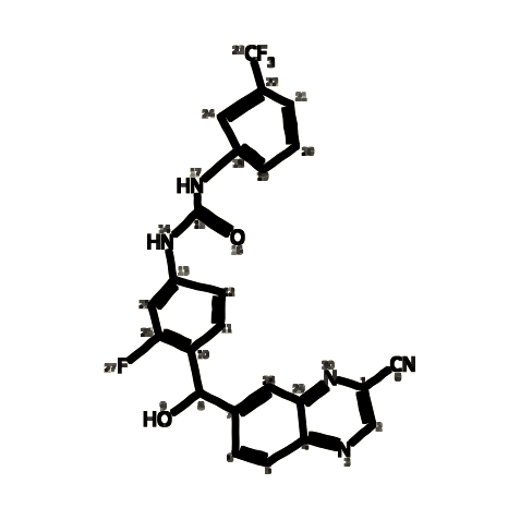 N#Cc1cnc2ccc(C(O)c3ccc(NC(=O)Nc4cccc(C(F)(F)F)c4)cc3F)cc2n1